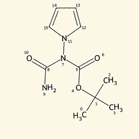 CC(C)(C)OC(=O)N(C(N)=O)n1cccc1